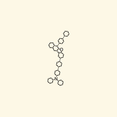 c1ccc(-c2ccc(-c3c4ccccc4cc4c3oc3ccc(-c5ccc(-c6ccc(N(c7ccccc7)c7ccccc7)cc6)cc5)cc34)cc2)cc1